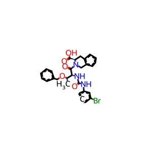 C[C@@H](OCc1ccccc1)[C@H](NC(=O)Nc1cccc(Br)c1)C(=O)N1Cc2ccccc2C[C@@H]1C(=O)O